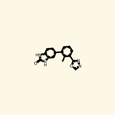 Cc1c(-c2ccc3[nH]c(=O)[nH]c3c2)cccc1-c1nnco1